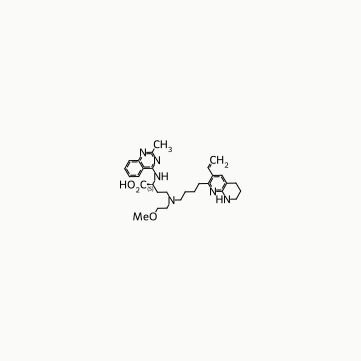 C=Cc1cc2c(nc1CCCCN(CCOC)CC[C@H](Nc1nc(C)nc3ccccc13)C(=O)O)NCCC2